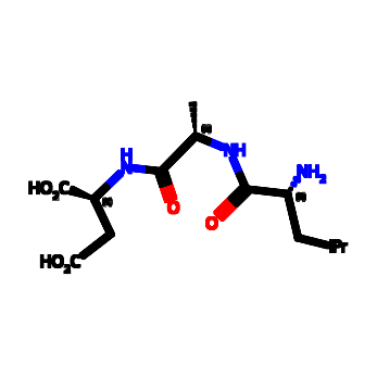 CC(C)C[C@@H](N)C(=O)N[C@@H](C)C(=O)N[C@@H](CC(=O)O)C(=O)O